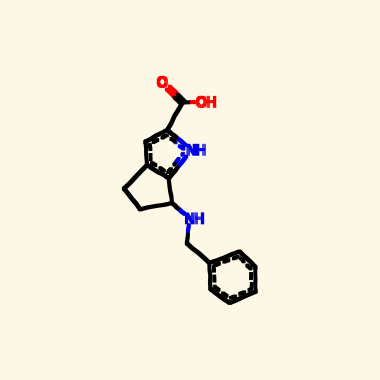 O=C(O)c1cc2c([nH]1)C(NCc1ccccc1)CC2